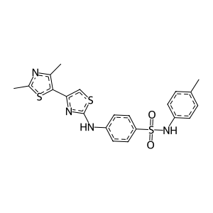 Cc1ccc(NS(=O)(=O)c2ccc(Nc3nc(-c4sc(C)nc4C)cs3)cc2)cc1